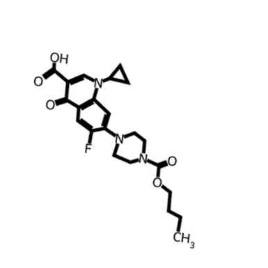 CCCCOC(=O)N1CCN(c2cc3c(cc2F)c(=O)c(C(=O)O)cn3C2CC2)CC1